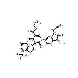 CCOC(=O)c1cn(-c2ccc3c(c2)n(CC#N)c(=O)n3C)c(=O)n(C2CCc3c2cccc3C(F)(F)F)c1=O